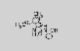 COCc1cc(C)nc2sc(C(=O)Nc3ccccc3O)c(N)c12